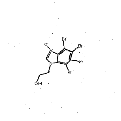 [O-][n+]1cn(CCO)c2c(Br)c(Br)c(Br)c(Br)c21